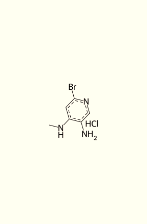 CNc1cc(Br)ncc1N.Cl